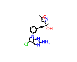 Cc1cc([C@](C)(O)C#Cc2cccc(-n3cc(Cl)c4cnc(N)nc43)c2)no1